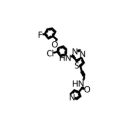 O=C(NCC#Cc1cc2ncnc(Nc3ccc(OCc4cccc(F)c4)c(Cl)c3)c2s1)c1ccncc1